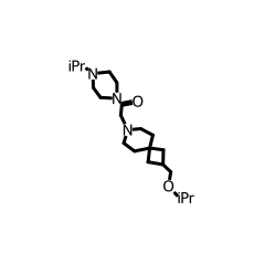 CC(C)OCC1CC2(CCN(CC(=O)N3CCN(C(C)C)CC3)CC2)C1